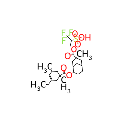 CCC1=CC(C)CC(C)(C(=O)OC2CCC3CC2CC(C)(C(=O)OCC(C(F)(F)F)S(=O)(=O)O)C3)C1